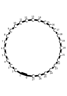 C1=CCCCCCCCCCCCCCCCCCCCCCCCCCC1